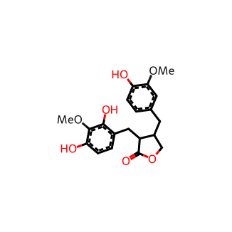 COc1cc(CC2COC(=O)C2Cc2ccc(O)c(OC)c2O)ccc1O